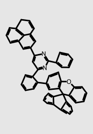 C1=Cc2cc(-c3cc(-c4ccccc4-c4ccc5c(c4)C4(c6ccccc6O5)c5ccccc5-c5ccccc54)nc(-c4ccccc4)n3)cc3cccc(c23)C1